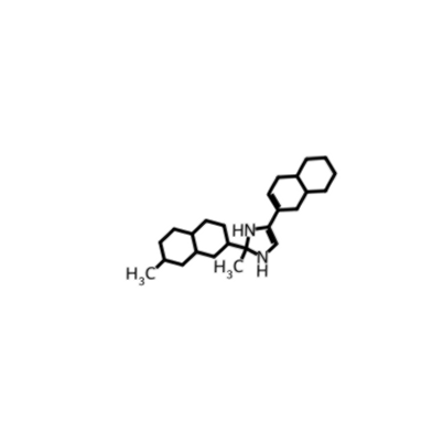 CC1CCC2CCC(C3(C)NC=C(C4=CCC5CCCCC5C4)N3)CC2C1